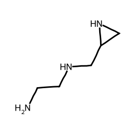 NCCNCC1CN1